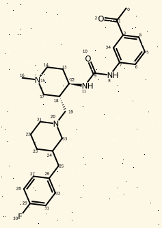 CC(=O)c1cccc(NC(=O)N[C@@H]2CCN(C)C[C@H]2CN2CCCC(Cc3ccc(F)cc3)C2)c1